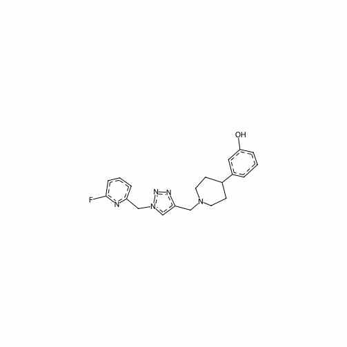 Oc1cccc(C2CCN(Cc3cn(Cc4cccc(F)n4)nn3)CC2)c1